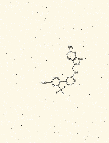 N#Cc1ccc(-c2ccnc(NCc3n[nH]c4nc(N)ccc34)c2)c(C(F)(F)F)c1